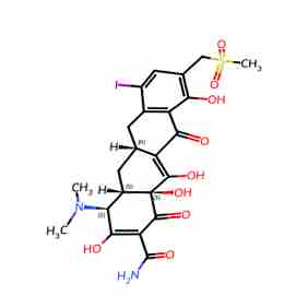 CN(C)[C@@H]1C(O)=C(C(N)=O)C(=O)[C@@]2(O)C(O)=C3C(=O)c4c(O)c(CS(C)(=O)=O)cc(I)c4C[C@H]3C[C@@H]12